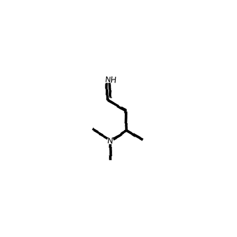 CC(CC=N)N(C)C